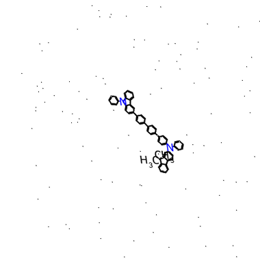 CC1(C)c2ccccc2-c2ccc(N(c3ccccc3)c3ccc(-c4ccc(-c5ccc(-c6ccc7c(c6)c6ccccc6n7-c6ccccc6)cc5)cc4)cc3)cc21